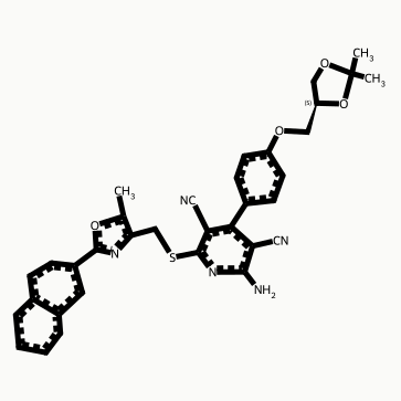 Cc1oc(-c2ccc3ccccc3c2)nc1CSc1nc(N)c(C#N)c(-c2ccc(OC[C@H]3COC(C)(C)O3)cc2)c1C#N